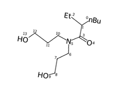 CCCCC(CC)C(=O)N(CCCO)CCCO